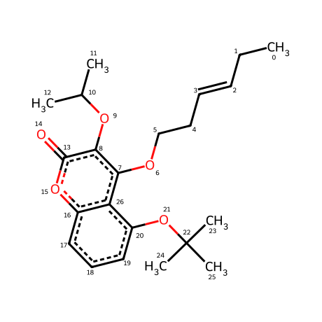 CC/C=C/CCOc1c(OC(C)C)c(=O)oc2cccc(OC(C)(C)C)c12